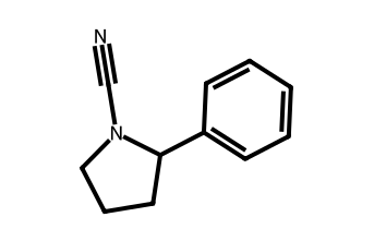 N#CN1CCCC1c1ccccc1